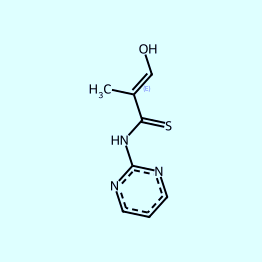 C/C(=C\O)C(=S)Nc1ncccn1